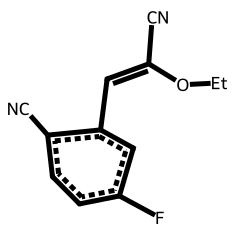 CCOC(C#N)=Cc1cc(F)ccc1C#N